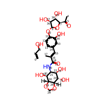 C=CCO.CC(=O)[C@H]1O[C@@H](Oc2ccc(/C=C(\C)C(=O)N[C@H]3[C@@H](O)[C@H](O)[C@@H]4OCO[C@@H]4[C@H]3O)cc2O)[C@@H](O)[C@@H]1O